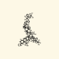 CC(C)C1=C2[C@H]3CC[C@@H]4[C@@]5(C)CC[C@H](OC(=O)CC(C)(C)C(=O)OC(C)(C)C)C(C)(C)[C@@H]5CC[C@@]4(C)[C@]3(C)CC[C@@]2([C@@H](CN(Cc2ccc(Cl)cc2)C(=O)OC(C)(C)C)OC(=O)CC(C)(C)C(=O)OC(C)(C)C)CC1=O